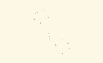 Cc1nonc1NC(=O)Nc1ccccc1